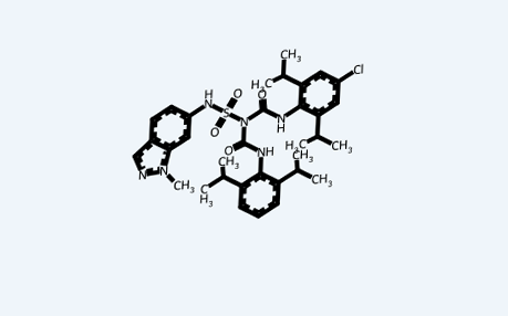 CC(C)c1cccc(C(C)C)c1NC(=O)N(C(=O)Nc1c(C(C)C)cc(Cl)cc1C(C)C)S(=O)(=O)Nc1ccc2cnn(C)c2c1